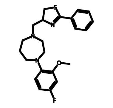 COc1cc(F)ccc1N1CCCN(CC2CSC(c3ccccc3)=N2)CC1